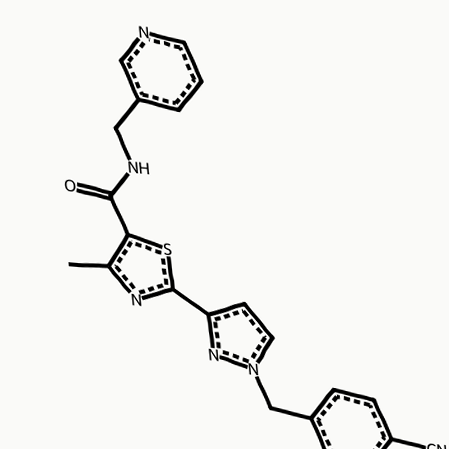 Cc1nc(-c2ccn(Cc3ccc(C#N)cc3)n2)sc1C(=O)NCc1cccnc1